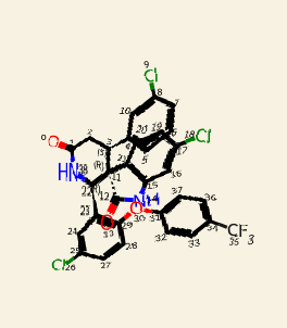 O=C1C[C@@H](c2cccc(Cl)c2)[C@]2(C(=O)Nc3cc(Cl)ccc32)[C@@H](c2cc(Cl)ccc2Oc2ccc(C(F)(F)F)cc2)N1